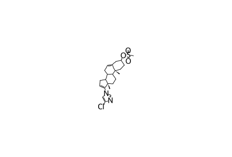 C[C@]12CC[C@H](OS(C)(=O)=O)CC1=CCC1C2CC[C@]2(C)C(n3cnc(Cl)c3)=CCC12